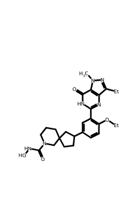 CCOc1ccc(C2CCC3(CCCN(C(=O)NO)C3)C2)cc1-c1nc2c(CC)nn(C)c2c(=O)[nH]1